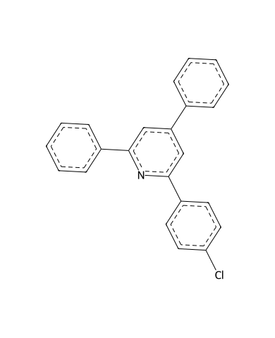 Clc1ccc(-c2cc(-c3ccccc3)cc(-c3ccccc3)n2)cc1